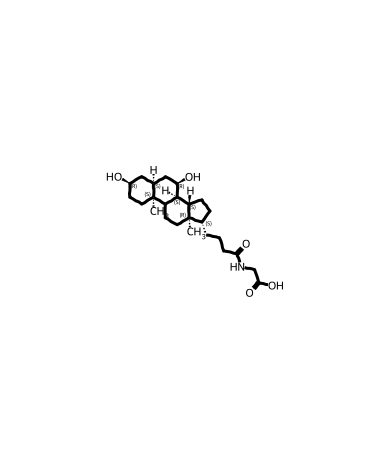 C[C@]12CCC3[C@@H]([C@H](O)C[C@@H]4C[C@H](O)CC[C@]34C)[C@@H]1CC[C@@H]2CCCC(=O)NCC(=O)O